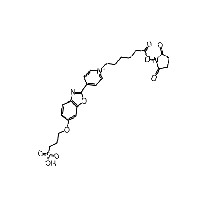 O=C(CCCCC[n+]1ccc(-c2nc3ccc(OCCCS(=O)(=O)O)cc3o2)cc1)ON1C(=O)CCC1=O